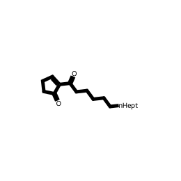 CCCCCCCCCCCCC(=O)C1=CCCC1=O